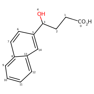 O=C(O)CCC(O)c1ccc2ccccc2c1